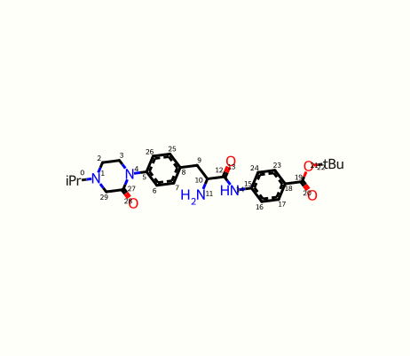 CC(C)N1CCN(c2ccc(CC(N)C(=O)Nc3ccc(C(=O)OC(C)(C)C)cc3)cc2)C(=O)C1